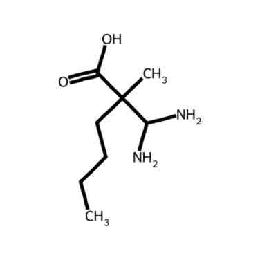 CCCCC(C)(C(=O)O)C(N)N